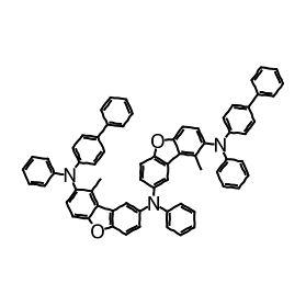 Cc1c(N(c2ccccc2)c2ccc(-c3ccccc3)cc2)ccc2oc3ccc(N(c4ccccc4)c4ccc5oc6ccc(N(c7ccccc7)c7ccc(-c8ccccc8)cc7)c(C)c6c5c4)cc3c12